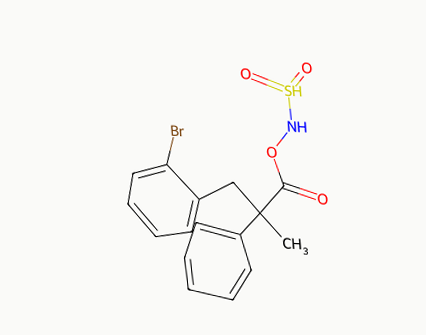 CC(Cc1ccccc1Br)(C(=O)ON[SH](=O)=O)c1ccccc1